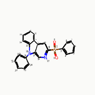 O=S(=O)(c1ccccc1)c1cc2c3ccccc3n(-c3ccccc3)c2cn1